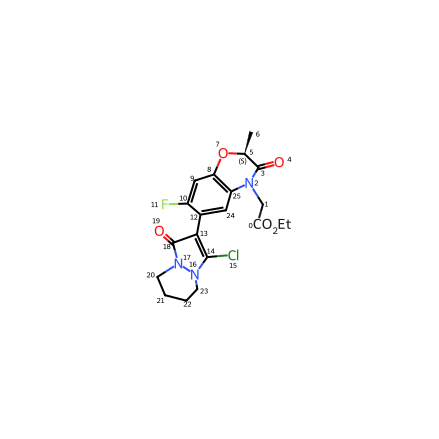 CCOC(=O)CN1C(=O)[C@H](C)Oc2cc(F)c(-c3c(Cl)n4n(c3=O)CCCC4)cc21